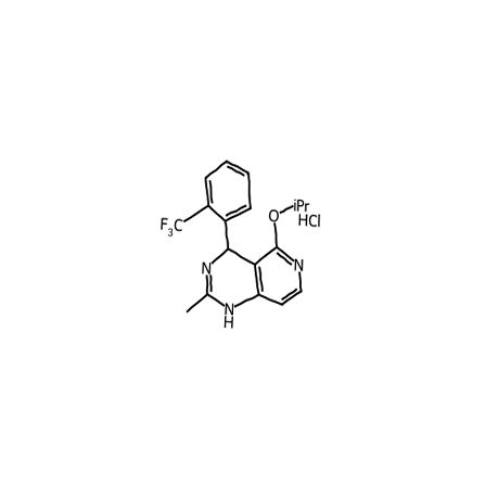 CC1=NC(c2ccccc2C(F)(F)F)c2c(ccnc2OC(C)C)N1.Cl